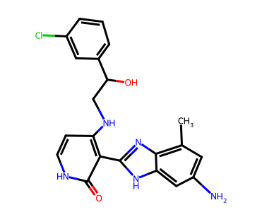 Cc1cc(N)cc2[nH]c(-c3c(NCC(O)c4cccc(Cl)c4)cc[nH]c3=O)nc12